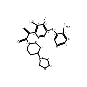 C=C(C(=O)N1CCC(N2CCCC2)CC1)c1ccc(Sc2ccccc2OC)c(Cl)c1Cl